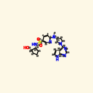 CN(c1ccc(S(=O)(=O)N[C@@H]2CCC[C@@H]2O)cn1)[C@@H]1CCN(c2ncnc3[nH]ccc23)C1